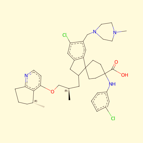 C[C@@H](COc1ccnc2c1[C@H](C)CCC2)CC1Cc2cc(Cl)c(CN3CCN(C)CC3)cc2C12CCC(Nc1cccc(Cl)c1)(C(=O)O)CC2